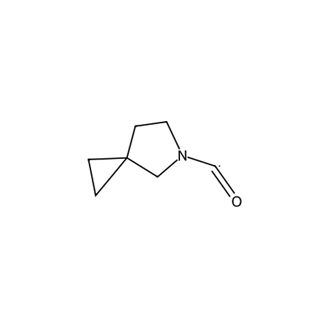 O=[C]N1CCC2(CC2)C1